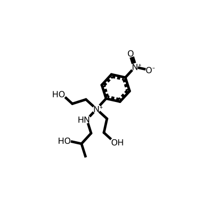 CC(O)CN[N+](CCO)(CCO)c1ccc([N+](=O)[O-])cc1